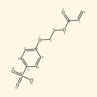 C=CC(=O)OCCOc1ccc(S(=O)(=O)Cl)cc1